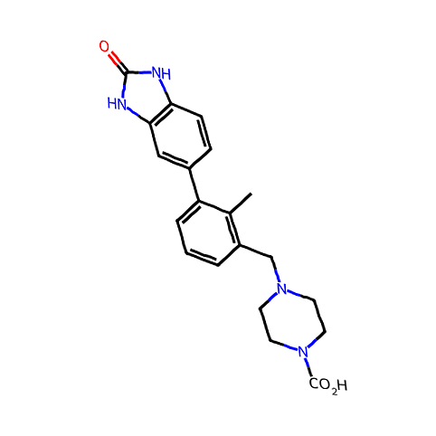 Cc1c(CN2CCN(C(=O)O)CC2)cccc1-c1ccc2[nH]c(=O)[nH]c2c1